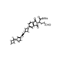 CNC(=O)C(CCC=O)N1C(=O)c2ccc(N3CC(C#Cc4cnn(C5(C)CCC5)c4)C3)cc2C1=O